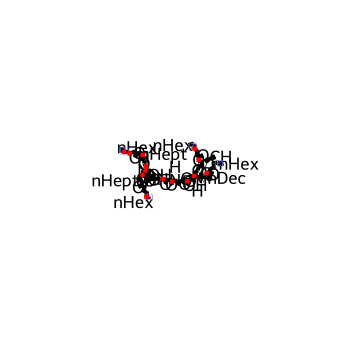 C#CC#C[C@H](CCOCC(COP(=O)(O)OCCNC(=O)CC(=O)NCCOP(=O)(O)OCC(COCC[C@@H](CCCCCCC)OC(=O)CCC/C=C\CCCCCC)NC(=O)C[C@@H](CCCCCCC)OC(=O)CCC/C=C/CCCCCC)NC(=O)C[C@@H](CCCCCCCCCCC)OC(=O)CCC/C=C/CCCCCC)OC(=O)CCC/C=C\CCCCCC